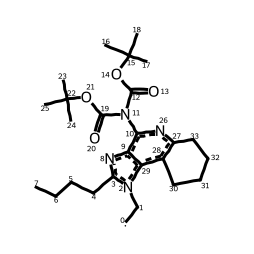 [CH2]Cn1c(CCCC)nc2c(N(C(=O)OC(C)(C)C)C(=O)OC(C)(C)C)nc3c(c21)CCCC3